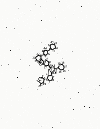 Cc1cccc(-c2cccc(-c3nc(-c4ccccc4)nc(-c4ccc5c(c4)oc4cccc(-c6ccc(-c7ccccc7)cc6)c45)n3)c2)c1